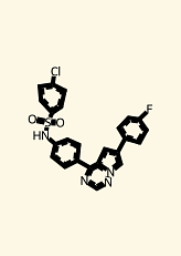 O=S(=O)(Nc1ccc(-c2ncnn3cc(-c4ccc(F)cc4)cc23)cc1)c1ccc(Cl)cc1